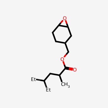 CCC(CC)CC(C)C(=O)OCC1CCC2OC2C1